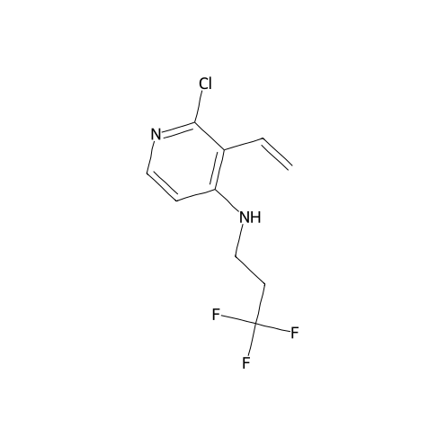 C=Cc1c(NCCC(F)(F)F)ccnc1Cl